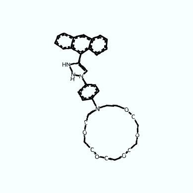 C1=C(c2c3ccccc3cc3ccccc23)NNN1c1ccc(N2CCOCCOCCOCCOCCOCC2)cc1